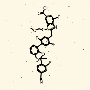 COCCn1c(Cc2cc(F)c(-c3cccc4c3OC(C)(c3ccc(C#N)cc3F)O4)cc2F)nc2c(F)cc(C(=O)O)cc21